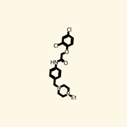 CCN1CCN(Cc2ccc(NC(=O)COc3ccc(Cl)cc3Cl)cc2)CC1